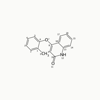 Cc1ccccc1Oc1cc(=O)[nH]c2ccccc12